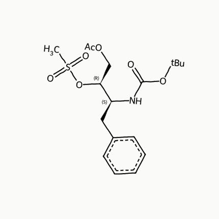 CC(=O)OC[C@H](OS(C)(=O)=O)[C@H](Cc1ccccc1)NC(=O)OC(C)(C)C